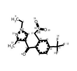 CCn1[c]c(C(=O)c2ccc(C(F)(F)F)cc2C[SH](=O)=O)c(C)n1